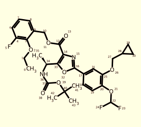 CCOc1c(F)cccc1COC(=O)c1nc(-c2ccc(OC(F)F)c(OCC3CC3)c2)oc1[C@H](C)NC(=O)OC(C)(C)C